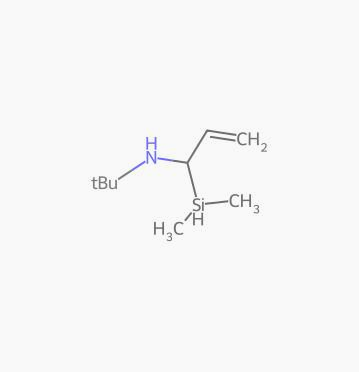 C=CC(NC(C)(C)C)[SiH](C)C